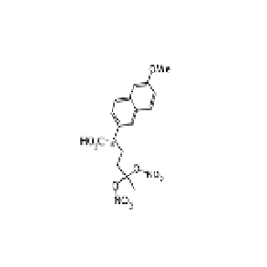 COc1ccc2cc([C@H](CCC(C)(O[N+](=O)[O-])O[N+](=O)[O-])C(=O)O)ccc2c1